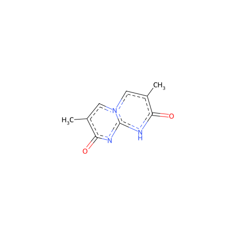 Cc1cn2cc(C)c(=O)[nH]c2nc1=O